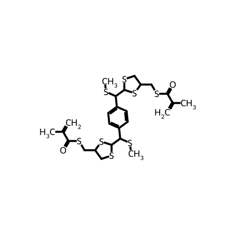 C=C(C)C(=O)SCC1CSC(C(SC)c2ccc(C(SC)C3SCC(CSC(=O)C(=C)C)S3)cc2)S1